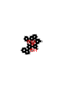 Cc1cc(-c2cc(C)cc(-c3cc(C)cc(-c4cccc5ccccc45)c3O)c2OCCOc2ccccc2)c(O)c(-c2cccc3ccccc23)c1